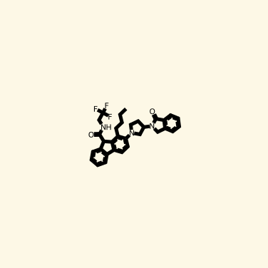 CCCCc1c(N2CCC(N3Cc4ccccc4C3=O)C2)ccc2c1C(C(=O)NCC(F)(F)F)c1ccccc1-2